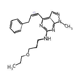 CCCOCCCNc1nc(/C=C\Cc2ccccc2)c2cnn(C)c2n1